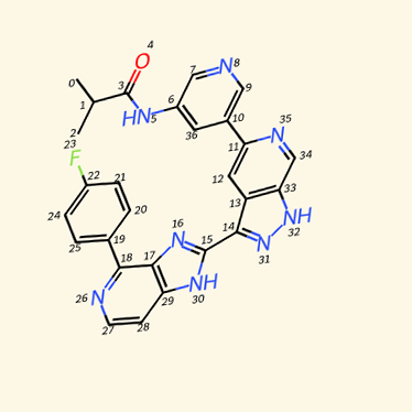 CC(C)C(=O)Nc1cncc(-c2cc3c(-c4nc5c(-c6ccc(F)cc6)nccc5[nH]4)n[nH]c3cn2)c1